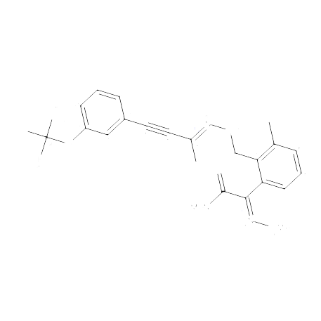 CNC(=O)/C(=N/OC)c1cccc(C)c1CO/N=C(\C)C#Cc1cccc(OC(F)(F)P)c1